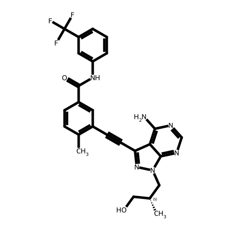 Cc1ccc(C(=O)Nc2cccc(C(F)(F)F)c2)cc1C#Cc1nn(C[C@H](C)CO)c2ncnc(N)c12